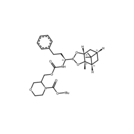 CC(C)(C)OC(=O)N1CCOCC1COC(=O)N[C@@H](CCc1ccccc1)B1O[C@@H]2C[C@@H]3C[C@@H](C3(C)C)[C@]2(C)O1